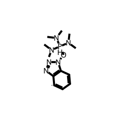 CN(C)[PH](On1nnc2[c]cccc21)(N(C)C)N(C)C